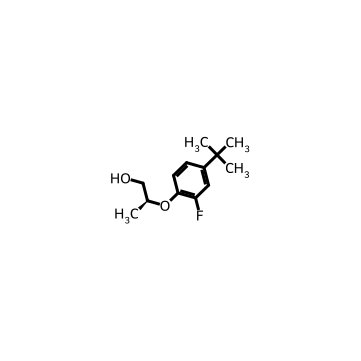 C[C@@H](CO)Oc1ccc(C(C)(C)C)cc1F